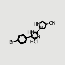 Cl.N#C[C@H]1CN[C@H](c2ncc(-c3ccc(Br)cc3)[nH]2)C1